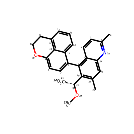 Cc1ccc2c(-c3ccc4c5c(cccc35)CCO4)c([C@H](OC(C)(C)C)C(=O)O)c(C)cc2n1